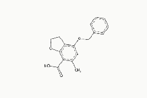 Cc1cc(OCc2ccccc2)c2c(c1C(=O)O)OCC2